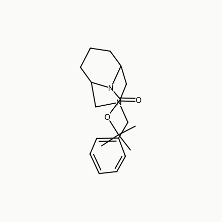 CC(C)(C)OC(=O)N1C2CCCC1CN(Cc1ccccc1)C2